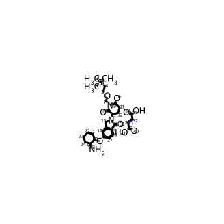 C[Si](C)(C)CCOCN1C(=O)CCC(N2Cc3cc(O[C@H]4CCCC[C@@H]4N)ccc3C2=O)C1=O.O=C(O)/C=C/C(=O)O